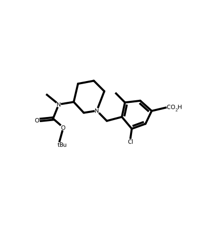 Cc1cc(C(=O)O)cc(Cl)c1CN1CCCC(N(C)C(=O)OC(C)(C)C)C1